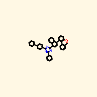 c1ccc(-c2ccc(-c3nc(-c4ccccc4)nc(-c4ccc(-c5cccc6c5-c5ccccc5CO6)c5ccccc45)n3)cc2)cc1